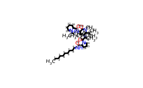 CCCCCCCCCCNC(=O)[C@@H]1CCCN1C(=O)/C(C)=C/[C@H](C(C)C)N(C)C(=O)[C@@H](NC(=O)C1CCCCN1C(C)C)C(C)(C)C